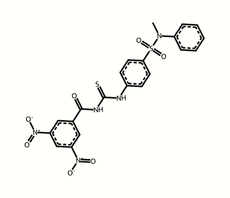 CN(c1ccccc1)S(=O)(=O)c1ccc(NC(=S)NC(=O)c2cc([N+](=O)[O-])cc([N+](=O)[O-])c2)cc1